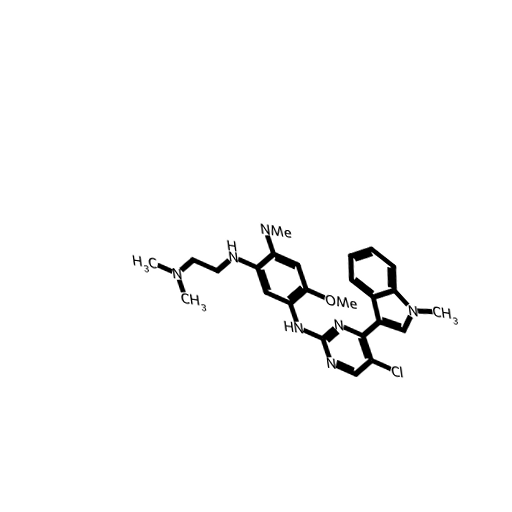 CNc1cc(OC)c(Nc2ncc(Cl)c(-c3cn(C)c4ccccc34)n2)cc1NCCN(C)C